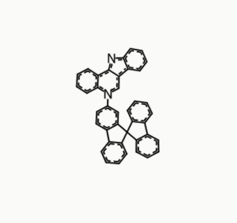 c1ccc2c(c1)-c1ccccc1C21c2ccccc2-c2ccc(-n3cc4c5ccccc5nc-4c4ccccc43)cc21